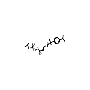 CC(C)OC(=O)OOC(=O)C=COOC(C)(C)c1ccc(C(C)C)cc1